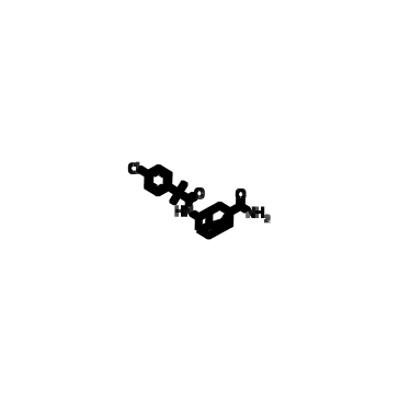 CC(C)(C(=O)NC1C2CC3CC1CC(C(N)=O)(C3)C2)c1ccc(Cl)cc1